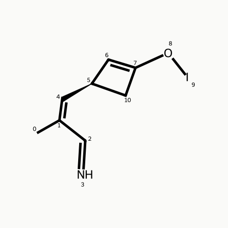 C/C(C=N)=C/[C@H]1C=C(OI)C1